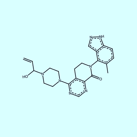 C=CC(O)N1CCN(c2ncnc3c2CCN(c2c(C)ccc4[nH]ncc24)C3=O)CC1